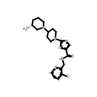 C[C@@H]1CCCN(C2CCN(c3ncc(C(=O)NCc4ncccc4Cl)s3)CC2)C1